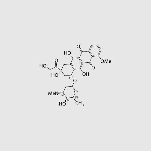 CN[C@H]1CC(O[C@@H]2CC(O)(C(=O)CO)Cc3c(O)c4c(c(O)c32)C(=O)c2c(OC)cccc2C4=O)O[C@@H](C)[C@H]1O